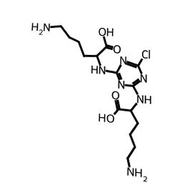 NCCCCC(Nc1nc(Cl)nc(NC(CCCCN)C(=O)O)n1)C(=O)O